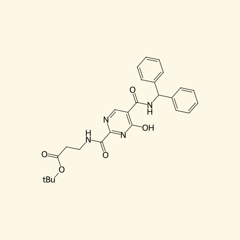 CC(C)(C)OC(=O)CCNC(=O)c1ncc(C(=O)NC(c2ccccc2)c2ccccc2)c(O)n1